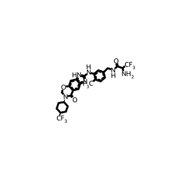 NC(C(=O)NCc1ccc(C(F)(F)F)c(Nc2nc3cc4c(cc3[nH]2)OCN([C@H]2CC[C@H](C(F)(F)F)CC2)C4=O)c1)C(F)(F)F